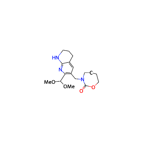 COC(OC)c1nc2c(cc1CN1CCCCOC1=O)CCCN2